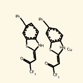 CC(C)c1ccc2c(c1)SC(=CC(=O)C(F)(F)F)N2.CC(C)c1ccc2c(c1)SC(=CC(=O)C(F)(F)F)N2.[Cu]